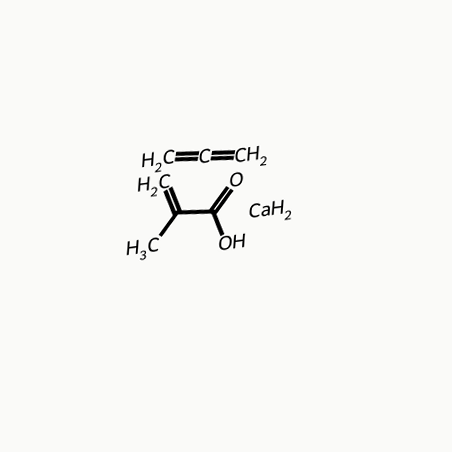 C=C(C)C(=O)O.C=C=C.[CaH2]